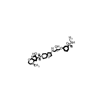 CNS(=O)(=O)c1cccc(OC[C@@H](O)CN[C@@H]2COC3(CCN(S(=O)(=O)c4cc5c(nc4O)OCCN5C)CC3)C2)c1